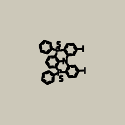 S=P1(c2ccccc2)c2ccc(I)cc2N2c3cc(I)ccc3P(=S)(c3ccccc3)c3cccc1c32